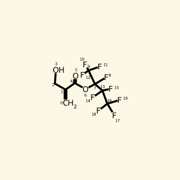 C=C(CO)C(=O)OC(F)(C(F)(F)F)C(F)(F)C(F)(F)F